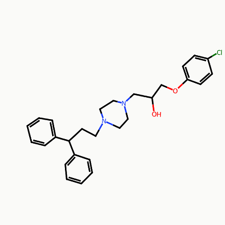 OC(COc1ccc(Cl)cc1)CN1CCN(CCC(c2ccccc2)c2ccccc2)CC1